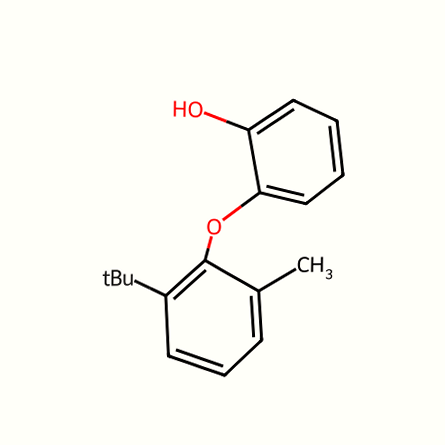 Cc1cccc(C(C)(C)C)c1Oc1ccccc1O